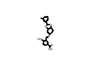 O=C(O)c1ccc(O)c(C=Nc2ccc3oc(-c4cccc(I)c4)nc3c2)c1